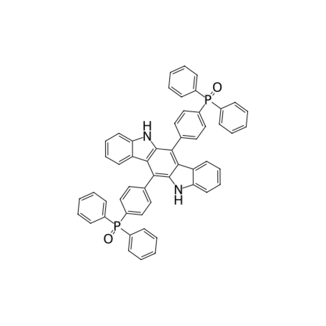 O=P(c1ccccc1)(c1ccccc1)c1ccc(-c2c3[nH]c4ccccc4c3c(-c3ccc(P(=O)(c4ccccc4)c4ccccc4)cc3)c3[nH]c4ccccc4c23)cc1